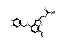 O=Cc1ccc(OCc2ccccc2)c2cc(CCC(=O)O)oc12